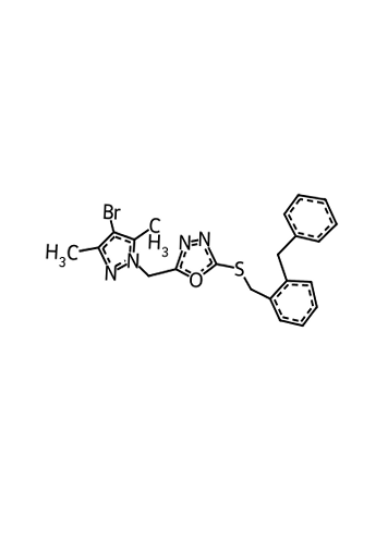 Cc1nn(Cc2nnc(SCc3ccccc3Cc3ccccc3)o2)c(C)c1Br